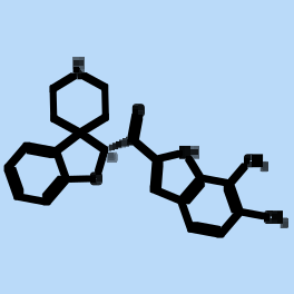 Cc1ccc2cc(C(=O)[C@@H]3Oc4ccccc4C34CCNCC4)[nH]c2c1C